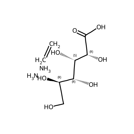 C=C.N.N.O=C(O)[C@H](O)[C@@H](O)[C@H](O)[C@H](O)CO